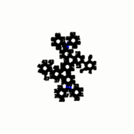 Cc1cccc(C)c1-c1ccc2c(c1)c1cc3c4ccc(N(c5ccccc5)c5ccccc5)cc4c4ccc(-c5c(C)cccc5C)cc4c3cc1c1ccc(N(c3ccccc3)c3ccccc3)cc21